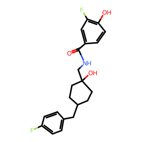 O=C(NCC1(O)CCC(Cc2ccc(F)cc2)CC1)c1ccc(O)c(F)c1